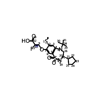 CSc1cc2c(cc1O/C=C(\F)C(=O)O)S(=O)(=O)N(C)[C@H](C1CCCC1)CN2C(C)(C)C